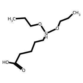 CCCO[SiH](CCCCC(=O)O)OCCC